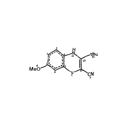 COc1ccc2c(c1)SC(C#N)=C(C(C)(C)C)N2